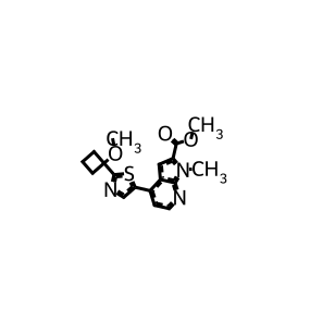 COC(=O)c1cc2c(-c3cnc(C4(OC)CCC4)s3)ccnc2n1C